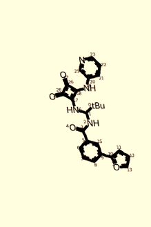 CC(C)(C)C(NC(=O)c1cccc(-c2ccco2)c1)Nc1c(Nc2cccnc2)c(=O)c1=O